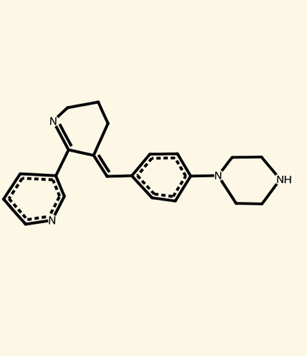 C(=C1/CCCN=C1c1cccnc1)/c1ccc(N2CCNCC2)cc1